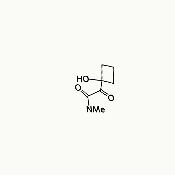 CNC(=O)C(=O)C1(O)CCC1